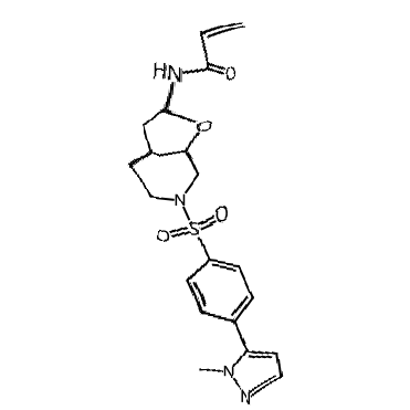 C=CC(=O)NC1CC2CCN(S(=O)(=O)c3ccc(-c4ccnn4C)cc3)CC2O1